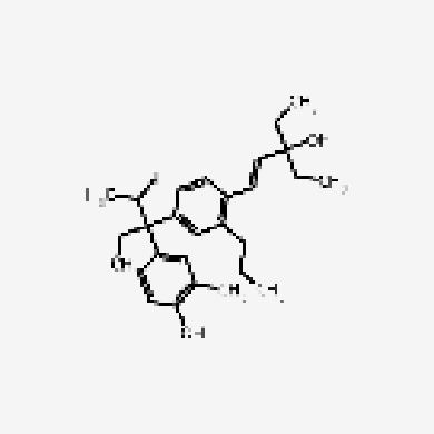 CCCc1cc(C(CC)(c2ccc(O)c(C)c2)C(C)I)ccc1C=CC(O)(CC)CC